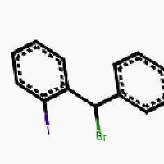 BrC(c1ccccc1)c1ccccc1I